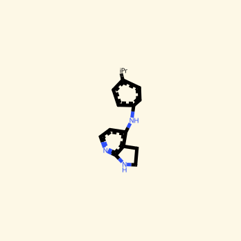 CC(C)c1ccc(Nc2ccnc3c2CCN3)cc1